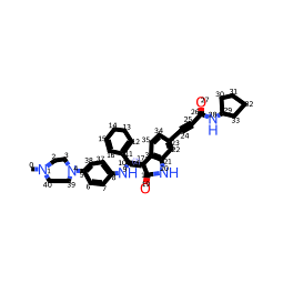 CN1CCN(c2ccc(N/C(C3=CCCC=C3)=C3\C(=O)Nc4cc(C#CC(=O)NC5CCCC5)ccc43)cc2)CC1